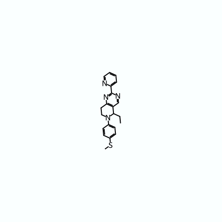 CCC1c2cnc(-c3ccccn3)nc2CCN1c1ccc(SC)cc1